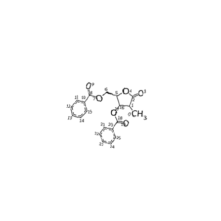 CC1C(=O)O[C@H](COC(=O)c2ccccc2)C1OC(=O)c1ccccc1